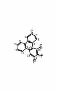 Cc1ccc(-c2c(-c3ccccc3)cc(F)c(F)c2F)cc1